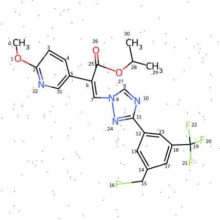 COc1ccc(C(=Cn2cnc(-c3cc(CF)cc(C(F)(F)F)c3)n2)C(=O)OC(C)C)cn1